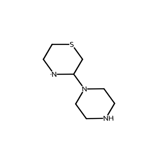 C1CSCC(N2CCNCC2)[N]1